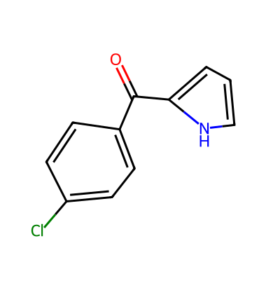 O=C(c1ccc(Cl)cc1)c1ccc[nH]1